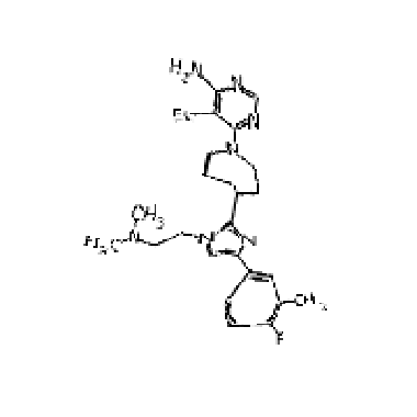 CCc1c(N)ncnc1N1CCC(c2nc(-c3ccc(F)c(C)c3)cn2CCN(C)C)CC1